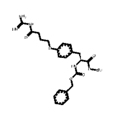 CC(C)(C)OC(=O)[C@H](Cc1ccc(OCCCC(=O)NC(=N)N)cc1)NC(=O)OCc1ccccc1